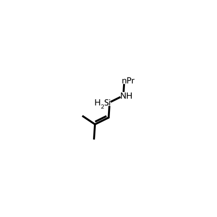 CCCN[SiH2]C=C(C)C